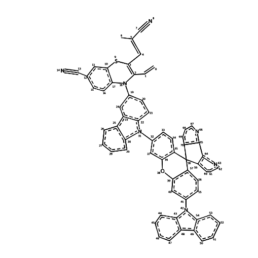 C=CC1=C(/C=C(\C)C#N)Sc2cc(C#N)ccc2N1c1ccc2c(c1)c1ccccc1n2-c1ccc2c(c1)Oc1cc(-n3c4ccccc4c4ccccc43)ccc1C21c2cccnc2-c2ncccc21